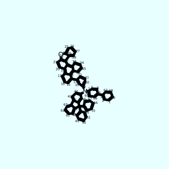 c1ccc(-c2ccc(N(c3cccc(-c4cccc5c6ccc7oc8ccccc8c7c6c6ccccc6c45)c3)c3ccc4c(c3)C(c3ccccc3)(c3ccccc3)c3ccccc3-4)cc2)cc1